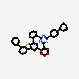 c1ccc(-c2ccc(-c3nc(-c4ccccc4)nc(-c4ccccc4-c4cc(-c5ccccc5)cc5c4sc4c(-c6ccccc6)cccc45)n3)cc2)cc1